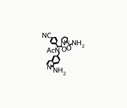 CC(=O)N(Cc1ccc2c(N)nccc2c1)C(C(=O)N1CCC[C@H]1C(N)=O)c1ccc(C#N)cc1